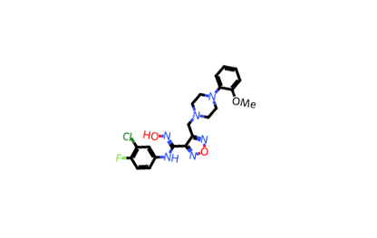 COc1ccccc1N1CCN(Cc2nonc2C(=NO)Nc2ccc(F)c(Cl)c2)CC1